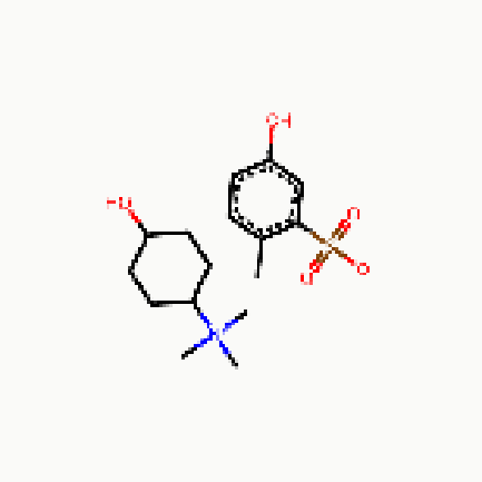 C[N+](C)(C)C1CCC(O)CC1.Cc1ccc(O)cc1S(=O)(=O)[O-]